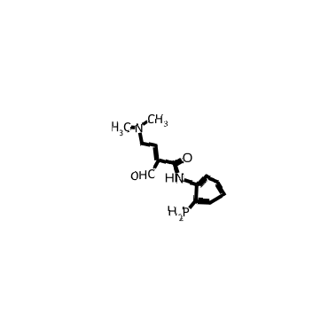 CN(C)C/C=C(\C=O)C(=O)Nc1ccccc1P